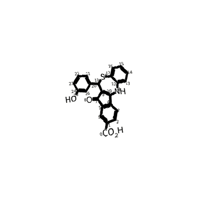 O=C(O)c1ccc2c(c1)C(=O)C1=C2Nc2ccccc2SC1c1cccc(O)c1